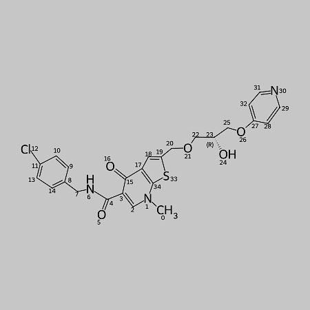 Cn1cc(C(=O)NCc2ccc(Cl)cc2)c(=O)c2cc(COC[C@@H](O)COc3ccncc3)sc21